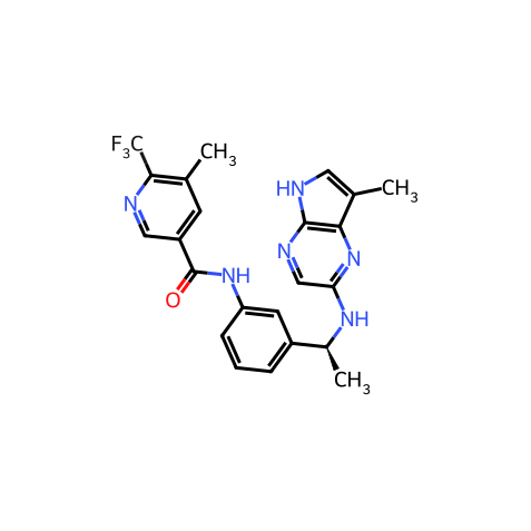 Cc1cc(C(=O)Nc2cccc([C@H](C)Nc3cnc4[nH]cc(C)c4n3)c2)cnc1C(F)(F)F